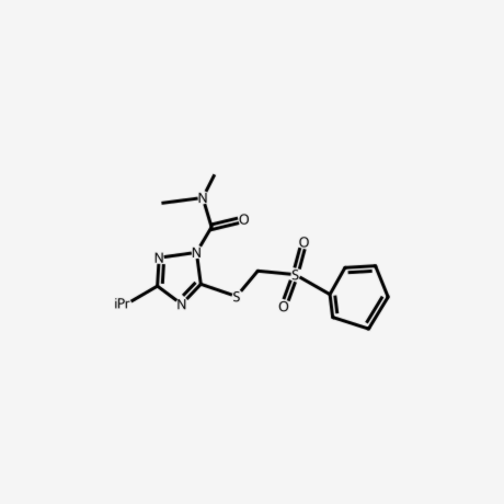 CC(C)c1nc(SCS(=O)(=O)c2ccccc2)n(C(=O)N(C)C)n1